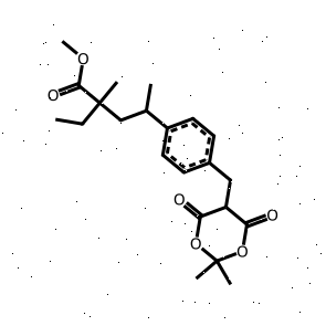 CCC(C)(CC(C)c1ccc(CC2C(=O)OC(C)(C)OC2=O)cc1)C(=O)OC